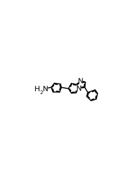 Nc1ccc(-c2ccn3c(-c4ccccc4)cnc3c2)cc1